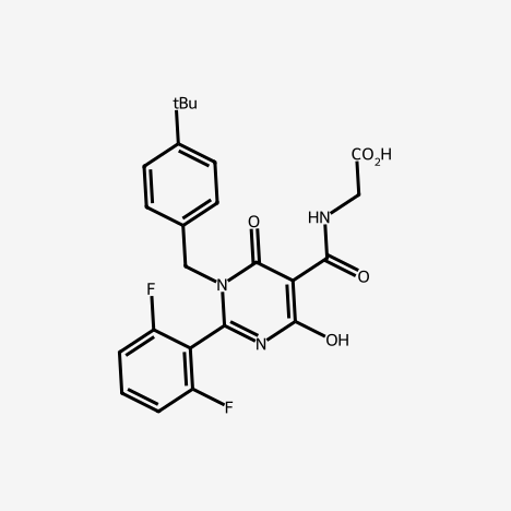 CC(C)(C)c1ccc(Cn2c(-c3c(F)cccc3F)nc(O)c(C(=O)NCC(=O)O)c2=O)cc1